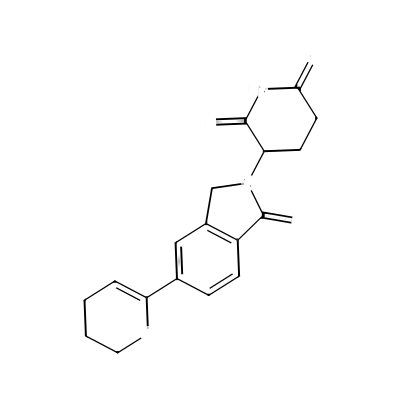 O=C1CCC(N2Cc3cc(C4=CCCCO4)ccc3C2=O)C(=O)N1